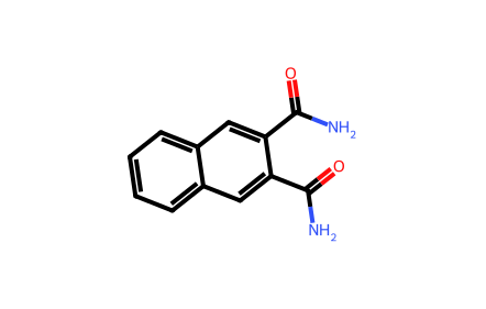 NC(=O)c1cc2ccccc2cc1C(N)=O